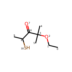 CCOC(C)(C)C(=O)C(C)S